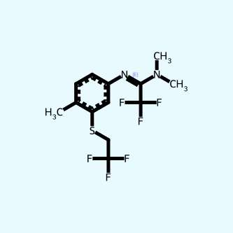 Cc1ccc(/N=C(/N(C)C)C(F)(F)F)cc1SCC(F)(F)F